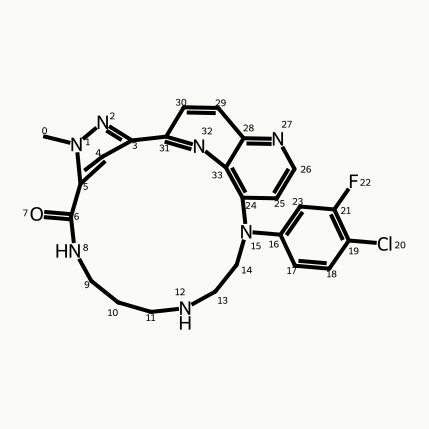 Cn1nc2cc1C(=O)NCCCNCCN(c1ccc(Cl)c(F)c1)c1ccnc3ccc-2nc13